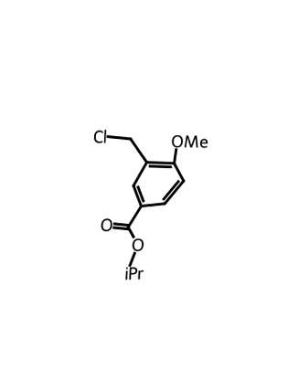 COc1ccc(C(=O)OC(C)C)cc1CCl